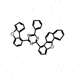 c1ccc(-c2nc(-c3cccc4oc5ccccc5c34)nc(-c3cccc4oc5c6ccccc6ccc5c34)n2)cc1